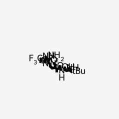 CC(C(=O)N/C(O)=C/C(=N)CC(C)(C)C)c1ccc(-c2nn(C(C)C(F)(F)F)c(N)c2C(N)=O)nc1